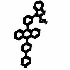 Cc1nc2ccccc2n1-c1cccc(-c2c3ccccc3c(-c3ccc(-c4ccncc4)cc3)c3ccccc23)c1